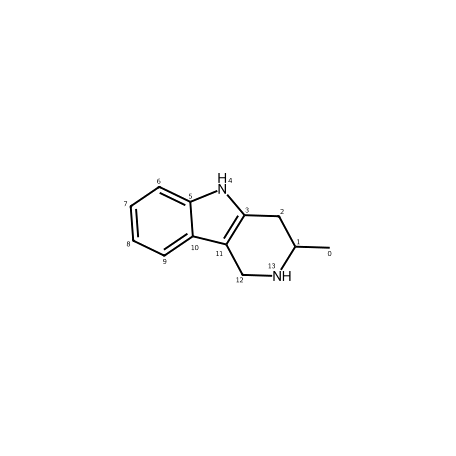 CC1Cc2[nH]c3ccccc3c2CN1